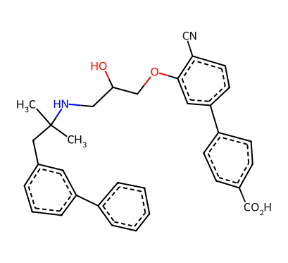 CC(C)(Cc1cccc(-c2ccccc2)c1)NCC(O)COc1cc(-c2ccc(C(=O)O)cc2)ccc1C#N